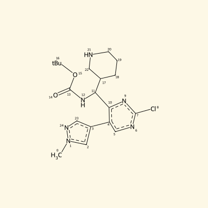 Cn1cc(-c2cnc(Cl)nc2C(NC(=O)OC(C)(C)C)C2CCCNC2)cn1